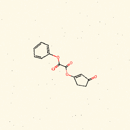 O=C1C=C(OC(=O)C(=O)Oc2ccccc2)CC1